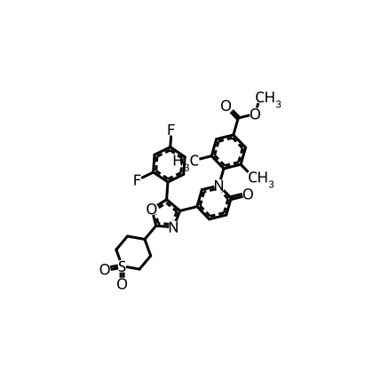 COC(=O)c1cc(C)c(-n2cc(-c3nc(C4CCS(=O)(=O)CC4)oc3-c3ccc(F)cc3F)ccc2=O)c(C)c1